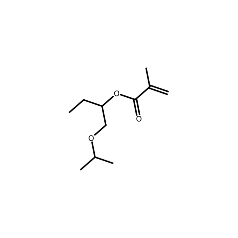 C=C(C)C(=O)OC(CC)COC(C)C